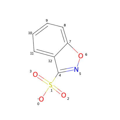 [O]S(=O)(=O)c1noc2ccccc12